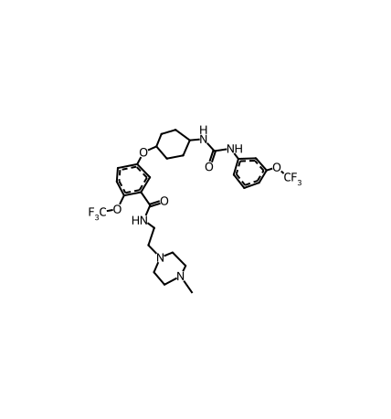 CN1CCN(CCNC(=O)c2cc(OC3CCC(NC(=O)Nc4cccc(OC(F)(F)F)c4)CC3)ccc2OC(F)(F)F)CC1